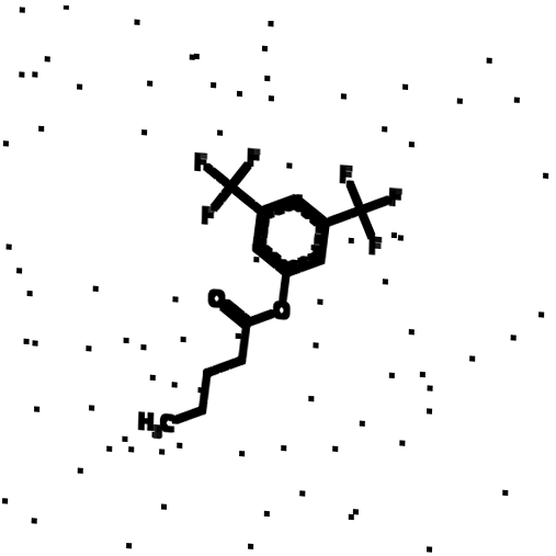 CCCCC(=O)Oc1cc(C(F)(F)F)cc(C(F)(F)F)c1